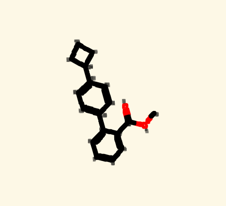 COC(=O)c1ccccc1-c1ccc(C2CCC2)cc1